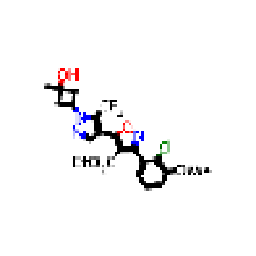 CCOC(=O)c1c(-c2cccc(OC)c2Cl)noc1-c1cnn(C2CC(C)(O)C2)c1C(F)(F)F